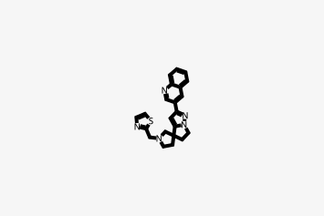 c1ccc2ncc(-c3cc4n(n3)CCC43CCN(Cc4nccs4)C3)cc2c1